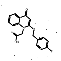 O=C(O)Cn1c(SCc2ccc(F)cc2)cc(=O)c2ccccc21